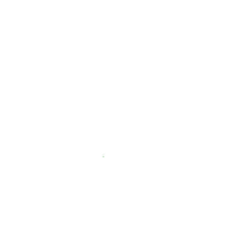 O=CC1CCCCCCCCC1Br